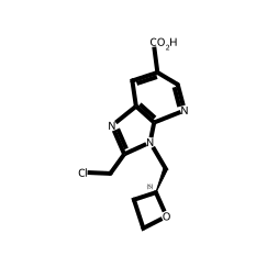 O=C(O)c1cnc2c(c1)nc(CCl)n2C[C@@H]1CCO1